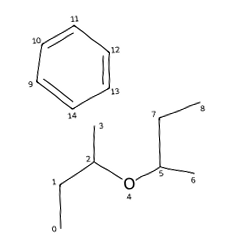 CCC(C)OC(C)CC.c1ccccc1